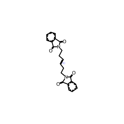 O=C1c2ccccc2C(=O)N1CC/C=C/CCN1C(=O)c2ccccc2C1=O